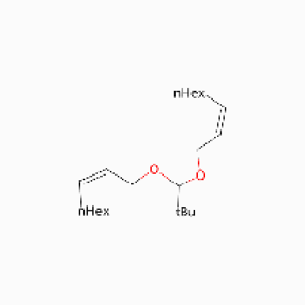 CCCCCC/C=C\COC(OC/C=C\CCCCCC)C(C)(C)C